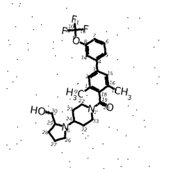 Cc1cc(-c2cccc(OC(F)(F)F)c2)cc(C)c1C(=O)N1CCC(N2CCCC2CO)CC1